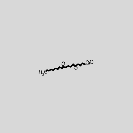 CCCCCCCCCC(=O)CCCCC(=O)CCCCOC=O